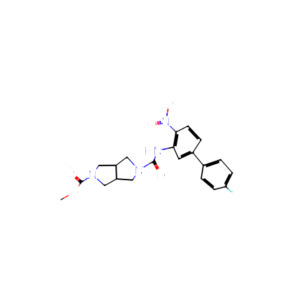 COC(=O)N1CC2CN(C(=O)Nc3cc(-c4ccc(F)cc4)ccc3[N+](=O)[O-])CC2C1